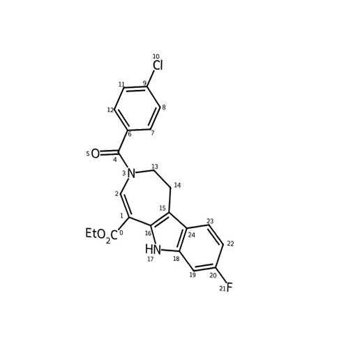 CCOC(=O)C1=CN(C(=O)c2ccc(Cl)cc2)CCc2c1[nH]c1cc(F)ccc21